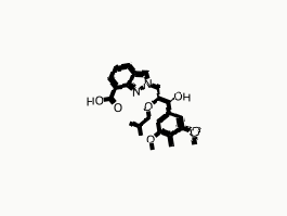 COc1cc([C@@H](O)[C@H](Cn2cc3cccc(C(=O)O)c3n2)OCC(C)C)cc(OC)c1C